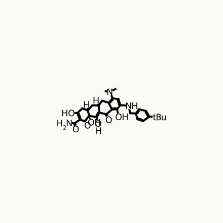 CN(C)c1cc(NCc2ccc(C(C)(C)C)cc2)c(O)c2c1C[C@H]1C[C@H]3CC(O)=C(C(N)=O)C(=O)[C@@]3(O)C(O)=C1C2=O